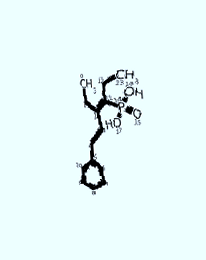 CCC(/C=C/c1ccccc1)=C(\CC)P(=O)(O)O